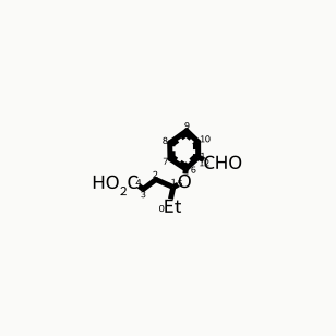 CCC(CCC(=O)O)Oc1ccccc1C=O